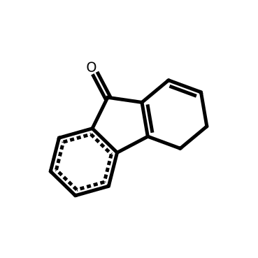 O=C1C2=C(CCC=C2)c2ccccc21